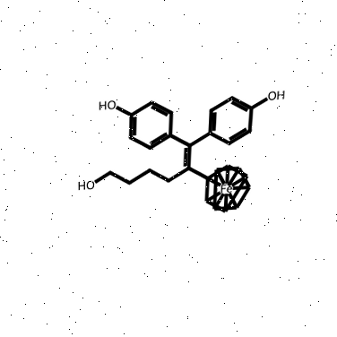 OCCCCC(=C(c1ccc(O)cc1)c1ccc(O)cc1)[C]12[CH]3[CH]4[CH]5[CH]1[Fe]45321678[CH]2[CH]1[CH]6[CH]7[CH]28